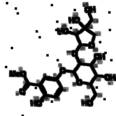 COC(=O)c1cc(OC2OC(CO)C(O)C(O)C2OC2OCC(O)(CO)C2O)ccc1O